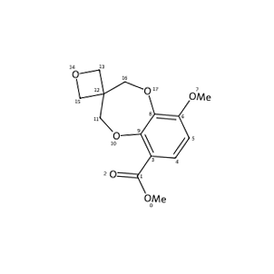 COC(=O)c1ccc(OC)c2c1OCC1(COC1)CO2